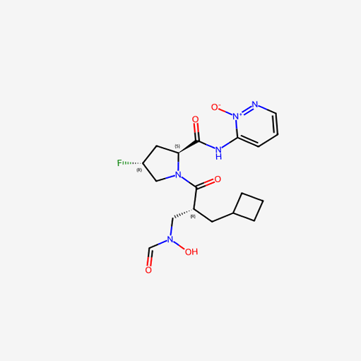 O=CN(O)C[C@@H](CC1CCC1)C(=O)N1C[C@H](F)C[C@H]1C(=O)Nc1cccn[n+]1[O-]